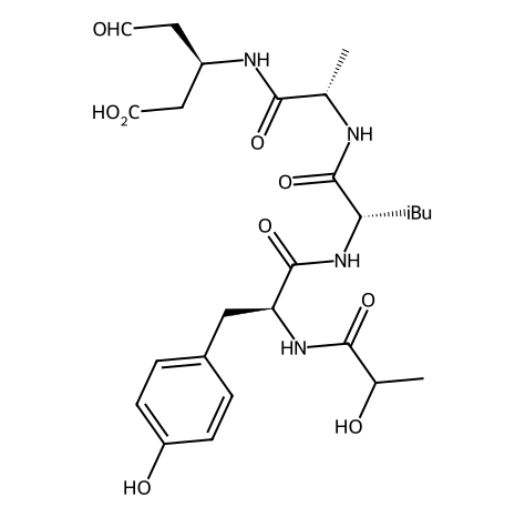 CCC(C)[C@H](NC(=O)[C@H](Cc1ccc(O)cc1)NC(=O)C(C)O)C(=O)N[C@@H](C)C(=O)N[C@H](CC=O)CC(=O)O